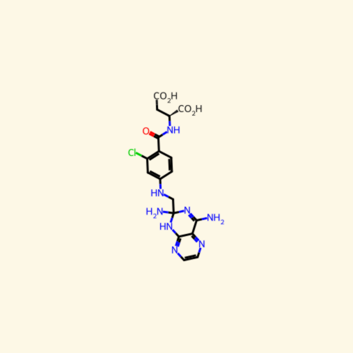 NC1=NC(N)(CNc2ccc(C(=O)N[C@@H](CC(=O)O)C(=O)O)c(Cl)c2)Nc2nccnc21